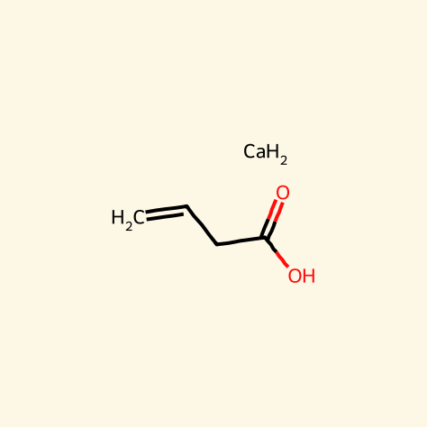 C=CCC(=O)O.[CaH2]